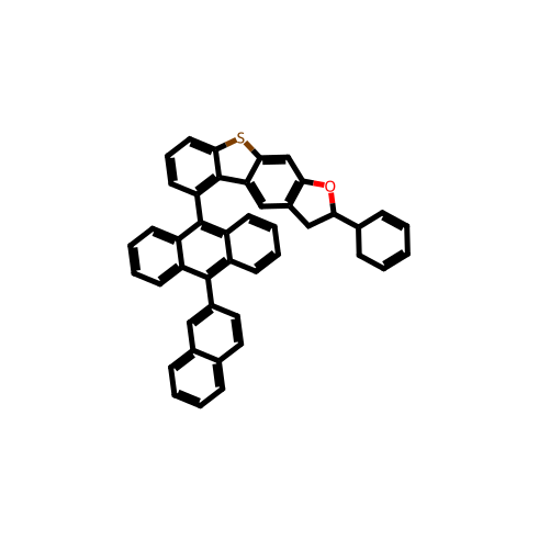 C1=CCC(C2Cc3cc4c(cc3O2)sc2cccc(-c3c5ccccc5c(-c5ccc6ccccc6c5)c5ccccc35)c24)C=C1